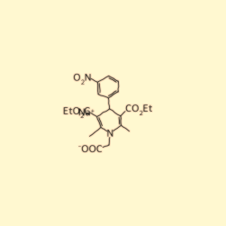 CCOC(=O)C1=C(C)N(CC(=O)[O-])C(C)=C(C(=O)OCC)C1c1cccc([N+](=O)[O-])c1.[Na+]